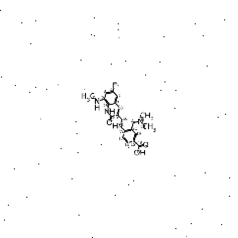 CNc1cc(F)cc2cc(CNc3ccc(C(=O)O)cc3CN(C)C)c(=O)[nH]c12